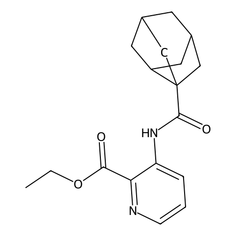 CCOC(=O)c1ncccc1NC(=O)C12CC3CC(CC1C3)C2